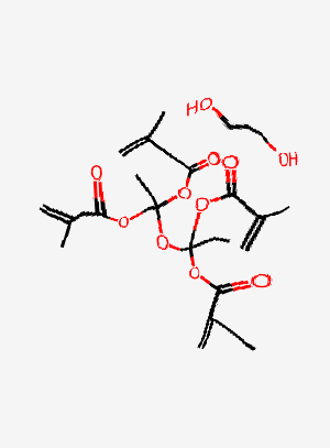 C=C(C)C(=O)OC(C)(OC(=O)C(=C)C)OC(C)(OC(=O)C(=C)C)OC(=O)C(=C)C.OCCO